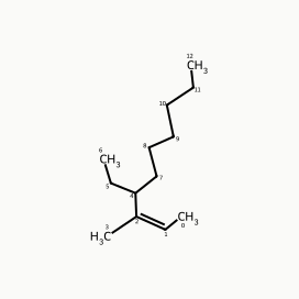 CC=C(C)C(CC)CCCCCC